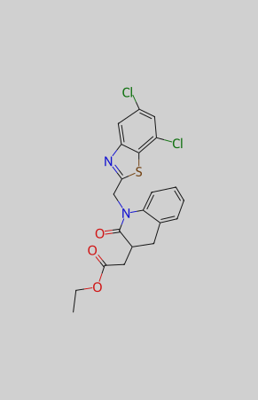 CCOC(=O)CC1Cc2ccccc2N(Cc2nc3cc(Cl)cc(Cl)c3s2)C1=O